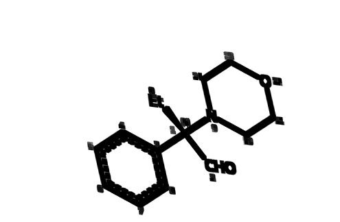 CC[C@@](C=O)(c1ccccc1)N1CCOCC1